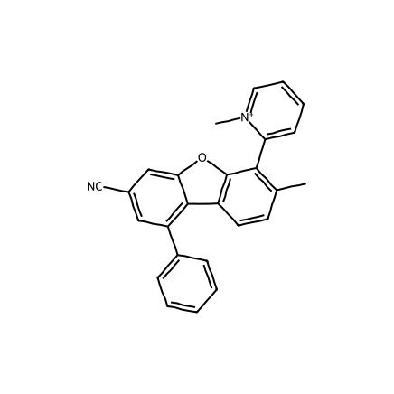 Cc1ccc2c(oc3cc(C#N)cc(-c4ccccc4)c32)c1-c1cccc[n+]1C